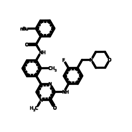 CCCCc1ccccc1C(=O)Nc1cccc(-c2cn(C)c(=O)c(Nc3ccc(CN4CCOCC4)c(F)c3)n2)c1C